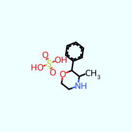 CC1NCCOC1c1ccccc1.O=S(=O)(O)O